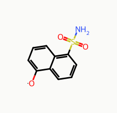 NS(=O)(=O)c1cccc2c([O])cccc12